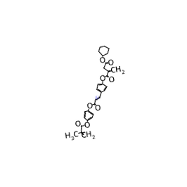 C=C(C)C(=O)Oc1ccc(OC(=O)/C=C/c2ccc(OC(=O)C(=C)CC(=O)OC3CCCCC3)cc2)cc1